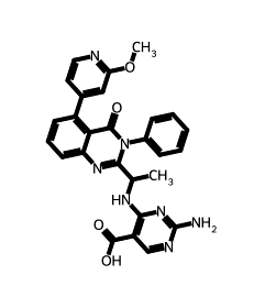 COc1cc(-c2cccc3nc(C(C)Nc4nc(N)ncc4C(=O)O)n(-c4ccccc4)c(=O)c23)ccn1